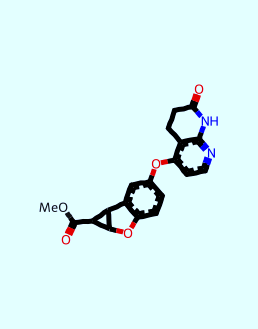 COC(=O)C1C2Oc3ccc(Oc4ccnc5c4CCC(=O)N5)cc3C21